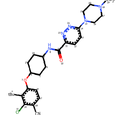 CC(C)(C)c1c(OC2CCC(NC(=O)c3ccc(N4CCN(C(=O)O)CC4)nn3)CC2)ccc(C#N)c1Cl